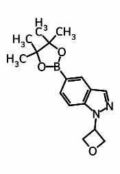 CC1(C)OB(c2ccc3c(cnn3C3COC3)c2)OC1(C)C